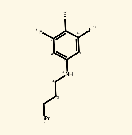 CC(C)CCCNc1cc(F)c(F)c(F)c1